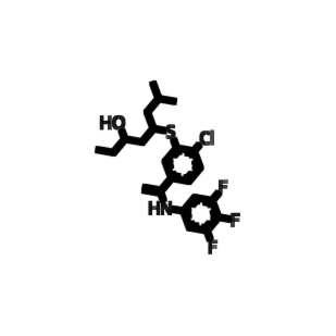 C=C(Nc1cc(F)c(F)c(F)c1)c1ccc(Cl)c(SC(CC(C)C)CC(O)CC)c1